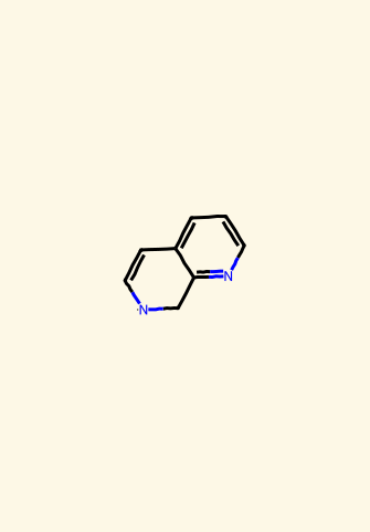 C1=Cc2cccnc2C[N]1